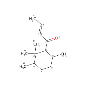 CC=CC(=O)C1C(C)CCC(C)C1(C)C